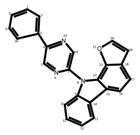 c1ccc(-c2cnc(-n3c4ccccc4c4ccc5ccoc5c43)cn2)cc1